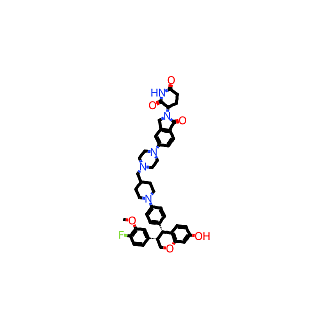 COc1cc([C@H]2COc3cc(O)ccc3[C@H]2c2ccc(N3CCC(CN4CCN(c5ccc6c(c5)CN(C5CCC(=O)NC5=O)C6=O)CC4)CC3)cc2)ccc1F